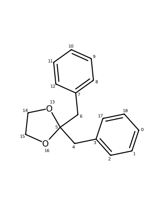 c1ccc(CC2(Cc3ccccc3)OCCO2)cc1